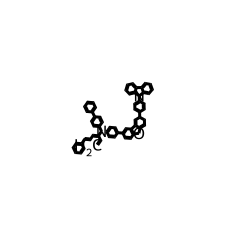 C=C/C(=C\C=C\c1ccccc1)N(c1ccc(-c2ccccc2)cc1)c1ccc(-c2ccc3oc4c(c3c2)=CC(c2ccc(-n3c5ccccc5c5ccccc53)cc2)CC=4)cc1